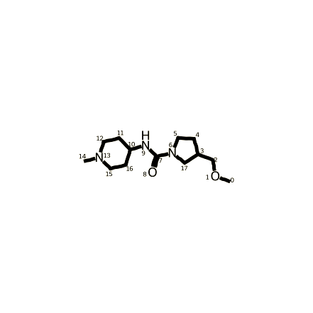 COCC1CCN(C(=O)NC2CCN(C)CC2)C1